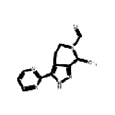 CC1c2n[nH]c(-c3ncccn3)c2CCN1C=O